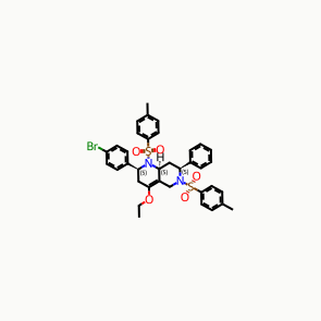 CCOC1=C2CN(S(=O)(=O)c3ccc(C)cc3)[C@H](c3ccccc3)C[C@@H]2N(S(=O)(=O)c2ccc(C)cc2)[C@H](c2ccc(Br)cc2)C1